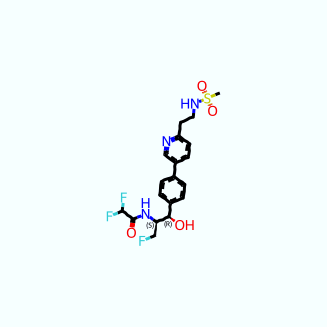 CS(=O)(=O)NCCc1ccc(-c2ccc([C@@H](O)[C@@H](CF)NC(=O)C(F)F)cc2)cn1